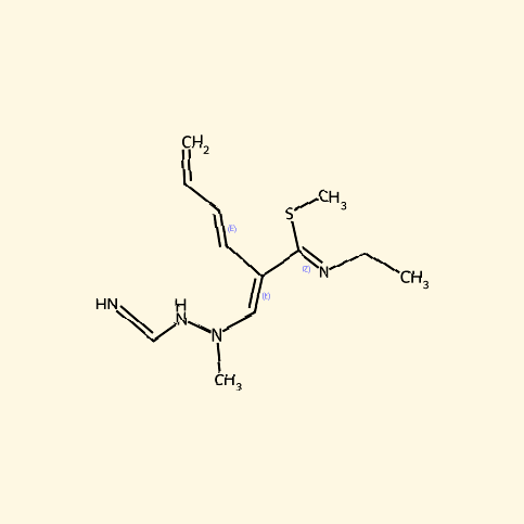 C=C/C=C/C(=C\N(C)NC=N)C(=N/CC)/SC